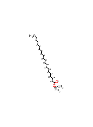 CCCCCCCCCCCCCCCCCCCCCC(=O)OC(C)C